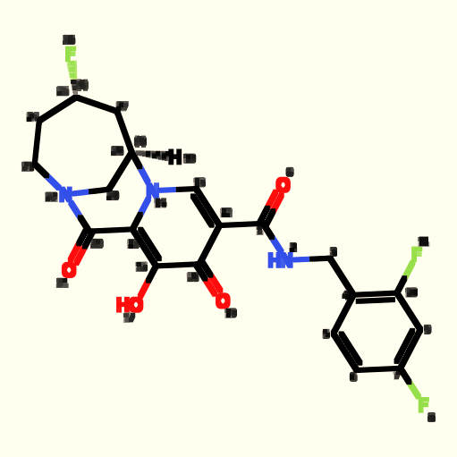 O=C(NCc1ccc(F)cc1F)c1cn2c(c(O)c1=O)C(=O)N1CC[C@H](F)C[C@@H]2C1